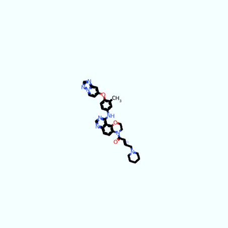 Cc1cc(Nc2ncnc3ccc4c(c23)OCCN4C(=O)/C=C/CN2CCCCC2)ccc1Oc1ccn2ncnc2c1